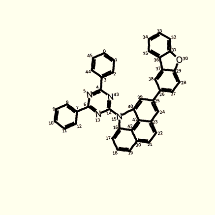 c1ccc(-c2nc(-c3ccccc3)nc(-n3c4cccc5ccc6cc(-c7ccc8oc9ccccc9c8c7)cc3c6c54)n2)cc1